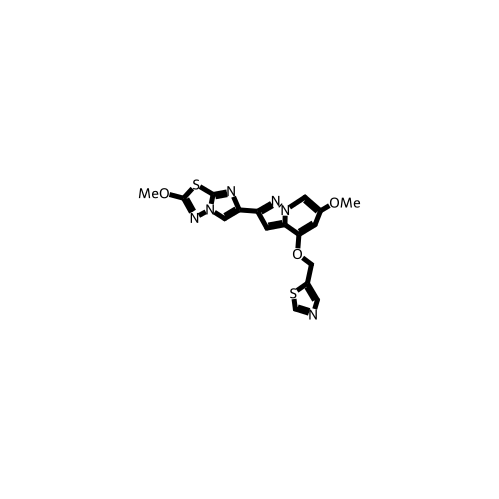 COc1cc(OCc2cncs2)c2cc(-c3cn4nc(OC)sc4n3)nn2c1